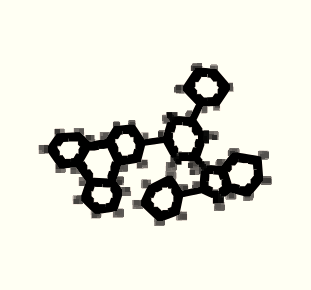 c1ccc(-c2nc(-c3ccc4c5ccccc5c5ccccc5c4c3)nc(-n3c(-c4ccccc4)nc4ccccc43)n2)cc1